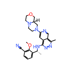 COc1c(C#N)cccc1[C@@H](C)Nc1nnc(C)c2cnc(N3CCN4CCOC[C@@H]4C3)cc12